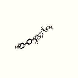 COC(=S)NC[C@H]1CN(c2ccc(N3C=NNCC3)cc2)C(=O)O1